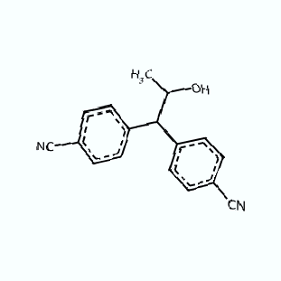 CC(O)C(c1ccc(C#N)cc1)c1ccc(C#N)cc1